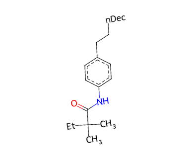 CCCCCCCCCCCCc1ccc(NC(=O)C(C)(C)CC)cc1